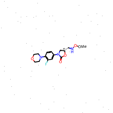 COONC[C@H]1CN(c2ccc(N3CCOCC3)c(F)c2)C(=O)O1